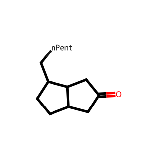 CCCCCCC1CCC2CC(=O)CC12